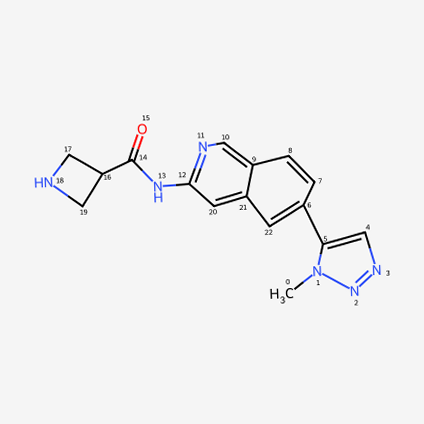 Cn1nncc1-c1ccc2cnc(NC(=O)C3CNC3)cc2c1